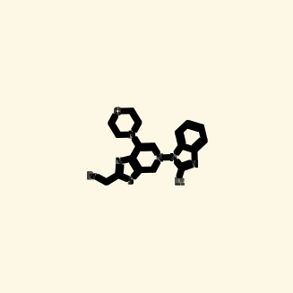 CCc1nc2ccccc2n1N1C=C(N2CCOCC2)c2nc(CBr)sc2C1